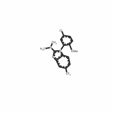 COc1ccc(Cl)cc1-n1c(N(C)C)nc2cc(C(F)(F)F)ccc21